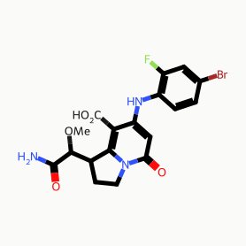 COC(C(N)=O)C1CCn2c1c(C(=O)O)c(Nc1ccc(Br)cc1F)cc2=O